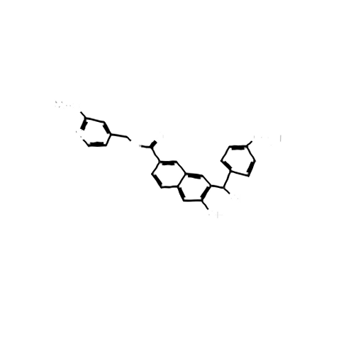 COc1cc(COC(=O)c2ccc3cc(O)c(C(O)c4ccc(C(=O)O)cc4)cc3c2)ccn1